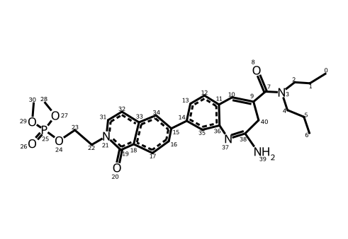 CCCN(CCC)C(=O)C1=Cc2ccc(-c3ccc4c(=O)n(CCOP(=O)(OC)OC)ccc4c3)cc2N=C(N)C1